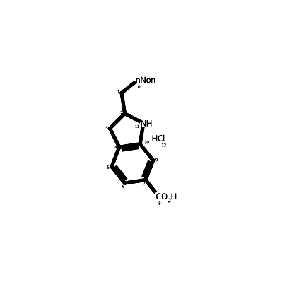 CCCCCCCCCCC1Cc2ccc(C(=O)O)cc2N1.Cl